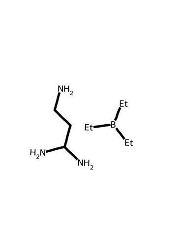 CCB(CC)CC.NCCC(N)N